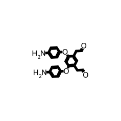 Nc1ccc(Oc2cc(Oc3ccc(N)cc3)c(CC=O)cc2CC=O)cc1